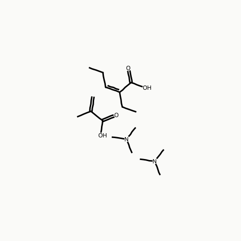 C=C(C)C(=O)O.CCC=C(CC)C(=O)O.CN(C)C.CN(C)C